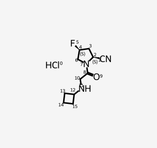 Cl.N#C[C@@H]1C[C@H](F)CN1C(=O)CNC1CCC1